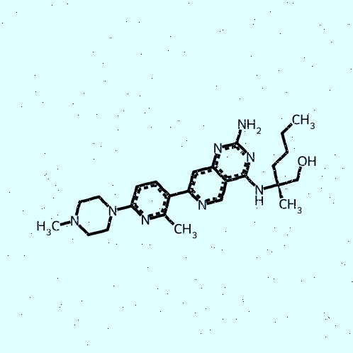 CCCC[C@](C)(CO)Nc1nc(N)nc2cc(-c3ccc(N4CCN(C)CC4)nc3C)ncc12